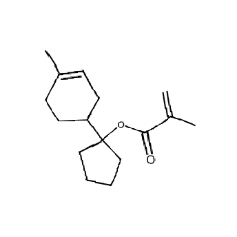 C=C(C)C(=O)OC1(C2CC=C(C)CC2)CCCC1